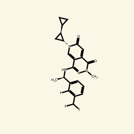 C[C@@H](Nc1nn(C)c(=O)c2cc(=O)n([C@@H]3C[C@H]3C3CC3)cc12)c1cccc(C(F)F)c1F